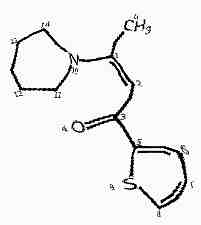 CC(=CC(=O)c1cccs1)N1CCCC1